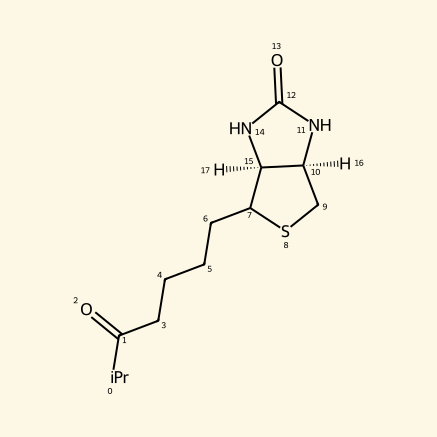 CC(C)C(=O)CCCCC1SC[C@@H]2NC(=O)N[C@H]12